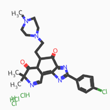 CN1CCN(CCC2C(=O)C3=NC(c4ccc(Cl)cc4)=NC3=C3C=NC(C)(C)C(=O)C32)CC1.Cl.Cl.Cl